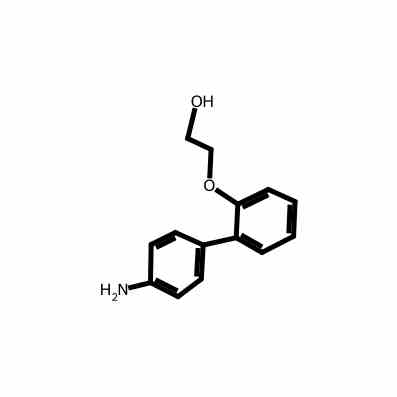 Nc1ccc(-c2ccccc2OCCO)cc1